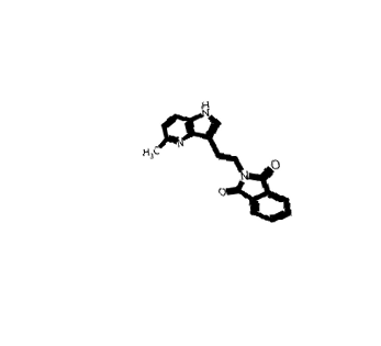 Cc1ccc2[nH]cc(CCN3C(=O)c4ccccc4C3=O)c2n1